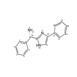 N[C@@H](c1ccccc1)c1nc(-c2ccccc2)c[nH]1